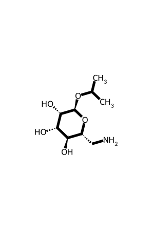 CC(C)O[C@H]1O[C@H](CN)[C@@H](O)[C@H](O)[C@@H]1O